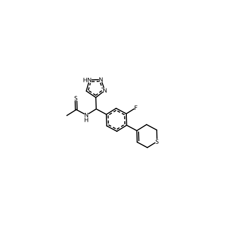 CC(=S)NC(c1ccc(C2=CCSCC2)c(F)c1)c1c[nH]nn1